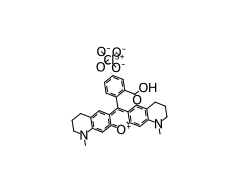 CN1CCCc2cc3c(-c4ccccc4C(=O)O)c4cc5c(cc4[o+]c3cc21)N(C)CCC5.[O-][Cl+3]([O-])([O-])[O-]